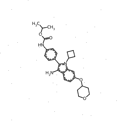 CC(C)OC(=O)Nc1ccc(-c2c(N)c3ccc(OC4CCOCC4)cc3n2C2CCC2)cc1